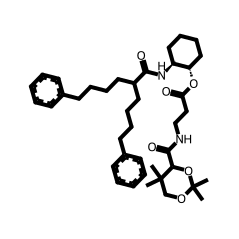 CC1(C)OCC(C)(C)C(C(=O)NCCC(=O)O[C@H]2CCCC[C@@H]2NC(=O)C(CCCCc2ccccc2)CCCCc2ccccc2)O1